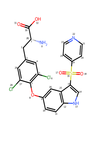 N[C@H](Cc1cc(Cl)c(Oc2ccc3[nH]cc(S(=O)(=O)c4ccncc4)c3c2)c(Cl)c1)C(=O)O